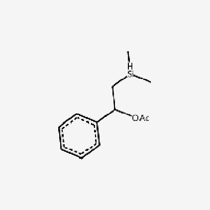 CC(=O)OC(C[SiH](C)C)c1ccccc1